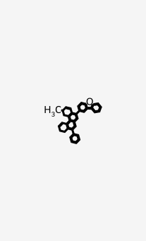 CC1C=Cc2c(-c3ccc4oc5ccccc5c4c3)cc3cc(-c4ccccc4)c4c(c3c2C1)C=CCC4